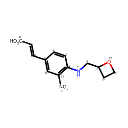 O=C(O)/C=C/c1ccc(NCC2CCO2)c([N+](=O)[O-])c1